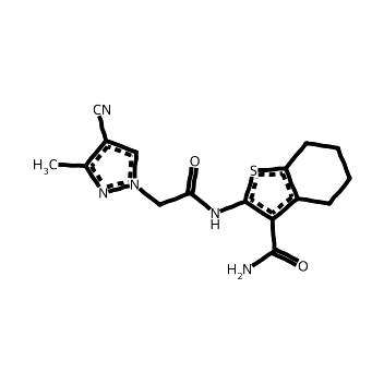 Cc1nn(CC(=O)Nc2sc3c(c2C(N)=O)CCCC3)cc1C#N